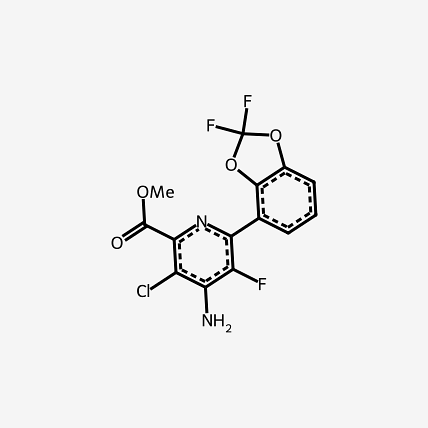 COC(=O)c1nc(-c2cccc3c2OC(F)(F)O3)c(F)c(N)c1Cl